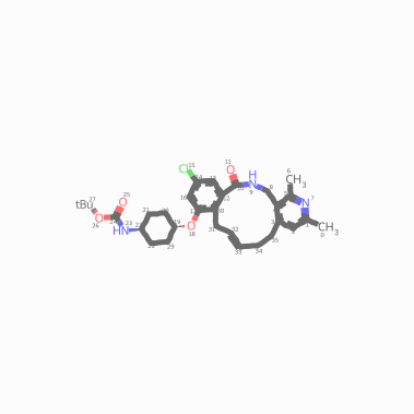 Cc1cc2c(c(C)n1)CNC(=O)c1cc(Cl)cc(O[C@H]3CC[C@H](NC(=O)OC(C)(C)C)CC3)c1C/C=C/CC2